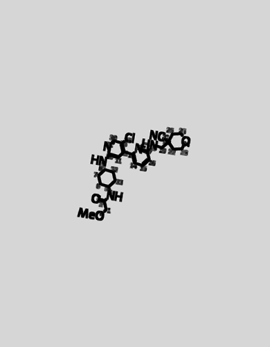 COCC(=O)N[C@H]1CC[C@H](Nc2cc(-c3cccc(NCC4(C#N)CCOCC4)n3)c(Cl)cn2)CC1